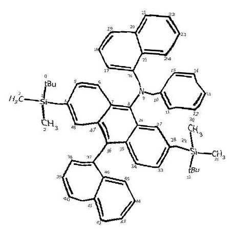 CC(C)(C)[Si](C)(C)c1ccc2c(N(c3ccccc3)c3cccc4ccccc34)c3cc([Si](C)(C)C(C)(C)C)ccc3c(-c3cccc4ccccc34)c2c1